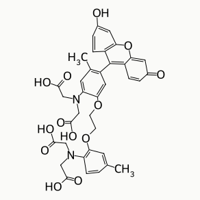 Cc1ccc(N(CC(=O)O)CC(=O)O)c(OCCOc2cc(-c3c4ccc(=O)cc-4oc4cc(O)ccc34)c(C)cc2N(CC(=O)O)CC(=O)O)c1